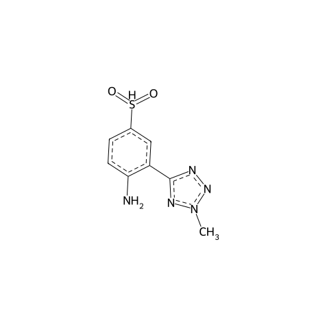 Cn1nnc(-c2cc([SH](=O)=O)ccc2N)n1